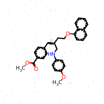 COC(=O)c1ccc(/C=C(/CCOc2cccc3ccccc23)CNc2ccc(OC)cc2)cc1